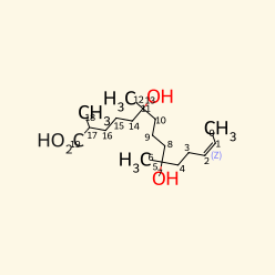 C/C=C\CCC(C)(O)CCCC(C)(O)CCCC(C)C(=O)O